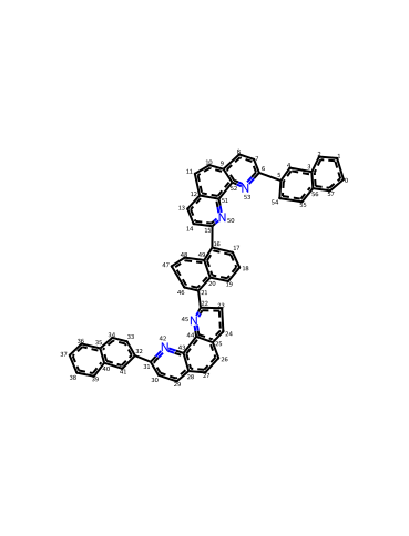 c1ccc2cc(-c3ccc4ccc5ccc(-c6cccc7c(-c8ccc9ccc%10ccc(-c%11ccc%12ccccc%12c%11)nc%10c9n8)cccc67)nc5c4n3)ccc2c1